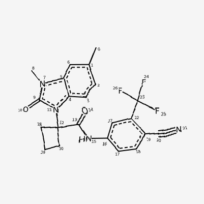 Cc1ccc2c(c1)n(C)c(=O)n2C1(C(=O)Nc2ccc(C#N)c(C(F)(F)F)c2)CCC1